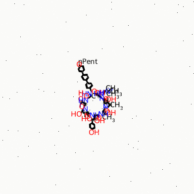 CCCCCOc1ccc(-c2ccc(-c3ccc(C(=O)NC4C[C@@H](O)[C@@H](NCC[N+](C)(C)C)NC(=O)[C@@H]5[C@@H](O)[C@@H](C)CN5C(=O)[C@H]([C@@H](C)O)NC(=O)[C@H]([C@H](O)[C@@H](O)c5ccc(O)cc5)NC(=O)[C@@H]5C[C@@H](O)CN5C(=O)[C@H]([C@H](O)I)NC4=O)cc3)cc2)cc1